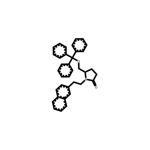 O=C1CCC(COC(c2ccccc2)(c2ccccc2)c2ccccc2)N1CCc1ccc2ccccc2c1